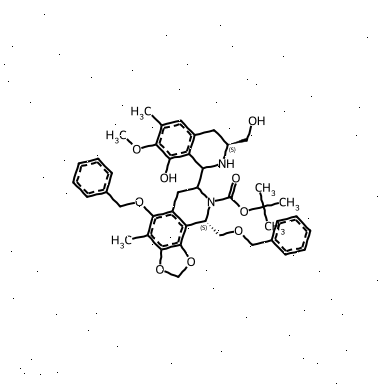 COc1c(C)cc2c(c1O)C(C1Cc3c(OCc4ccccc4)c(C)c4c(c3[C@@H](COCc3ccccc3)N1C(=O)OC(C)(C)C)OCO4)N[C@H](CO)C2